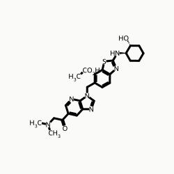 CC(=O)O.CN(C)CC(=O)c1cnc2c(c1)ncn2Cc1ccc2nc(N[C@@H]3CCCC[C@H]3O)sc2c1